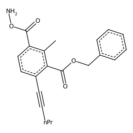 CCCC#Cc1ccc(C(=O)ON)c(C)c1C(=O)OCc1ccccc1